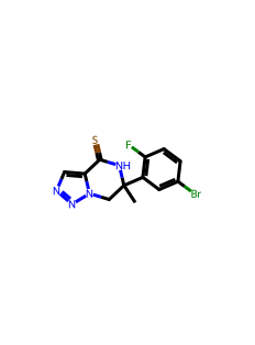 CC1(c2cc(Br)ccc2F)Cn2nncc2C(=S)N1